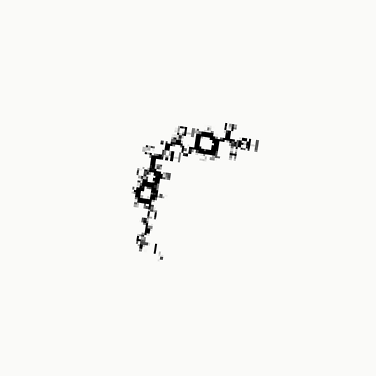 COCCOc1ccc2oc(C(=O)NC[C@@H](C)Oc3ccc(C(=O)NO)cc3)cc2c1